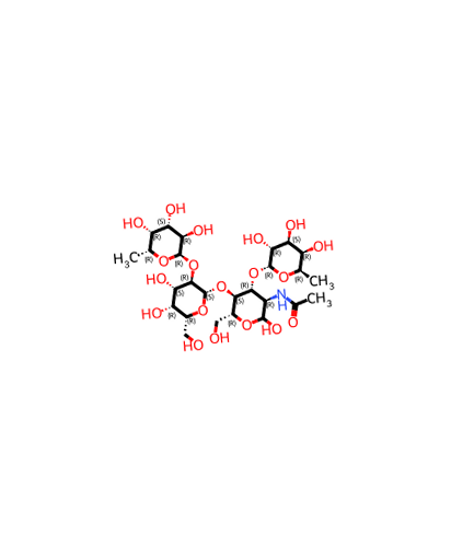 CC(=O)N[C@H]1C(O)O[C@H](CO)[C@@H](O[C@@H]2O[C@H](CO)[C@H](O)[C@H](O)[C@H]2O[C@H]2O[C@H](C)[C@H](O)[C@H](O)[C@H]2O)[C@@H]1O[C@H]1O[C@H](C)[C@H](O)[C@H](O)[C@H]1O